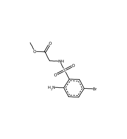 COC(=O)CNS(=O)(=O)c1cc(Br)ccc1N